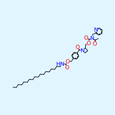 CCCCCCCCCCCCCCCCCCNC(=O)OCc1ccc(C(=O)N2CCC2COC(=O)N(Cc2ccccn2)C(C)=O)cc1